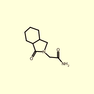 NC(=O)CN1CC2CCCCC2C1=O